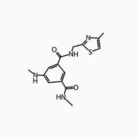 CNC(=O)c1cc(NC)cc(C(=O)NCc2nc(C)cs2)c1